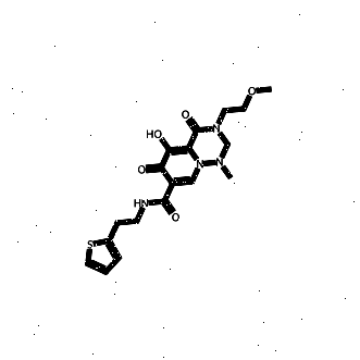 COCCN1CN(C)n2cc(C(=O)NCCc3cccs3)c(=O)c(O)c2C1=O